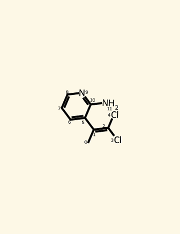 CC(=C(Cl)Cl)c1cccnc1N